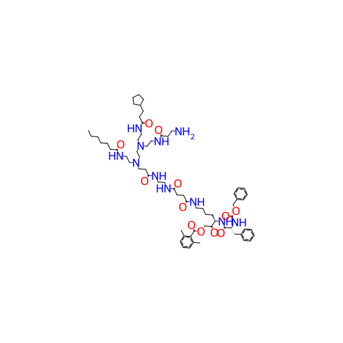 CCCCCCC(=O)NCCN(CCC(=O)NCCNC(=O)CCC(=O)NCCCC[C@@H](NC(=O)[C@@H](Cc1ccccc1)NC(=O)OCc1ccccc1)C(=O)COC(=O)c1c(C)cccc1C)CCN(CCNC(=O)CCN)CCNC(=O)CCC1CCCC1